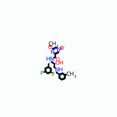 COc1c[n+]([O-])cc(C(=O)N[C@@H](Cc2cc(F)cc(F)c2)[C@H](O)CNCc2cccc(C)c2)n1